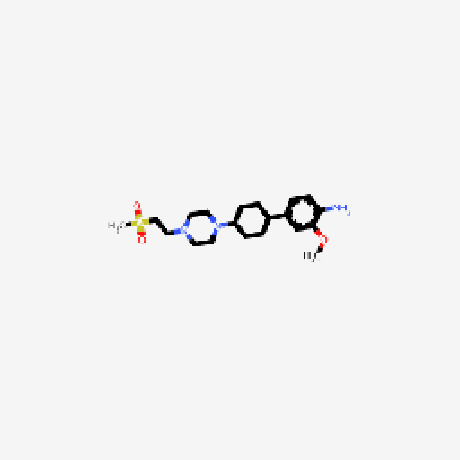 COc1cc(C2CCC(N3CCN(CCS(C)(=O)=O)CC3)CC2)ccc1N